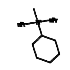 CCC[N+](C)(CCC)C1CCCCC1